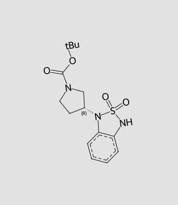 CC(C)(C)OC(=O)N1CC[C@@H](N2c3ccccc3NS2(=O)=O)C1